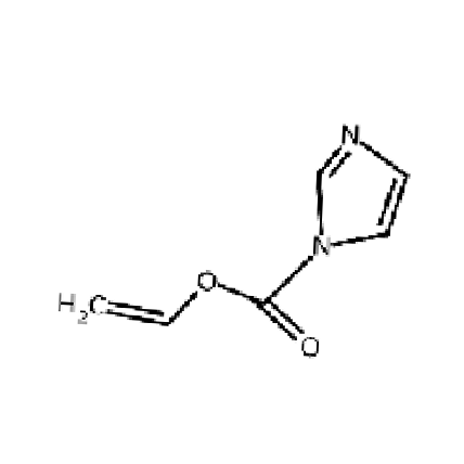 C=COC(=O)n1ccnc1